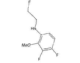 COc1c(NCCF)ccc(F)c1F